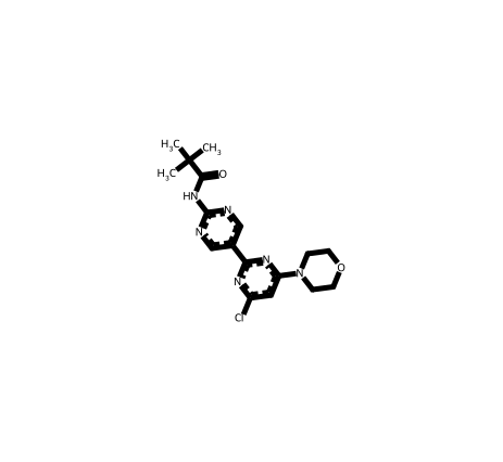 CC(C)(C)C(=O)Nc1ncc(-c2nc(Cl)cc(N3CCOCC3)n2)cn1